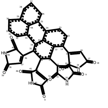 O=C1C=C(c2c(C3=CC(=O)NC3=O)c3c(C4=CC(=O)NC4=O)ccc4c5cccc6cccc(c(c2C2=CC(=O)NC2=O)c34)c65)C(=O)N1